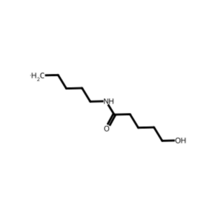 [CH2]CCCCNC(=O)CCCCO